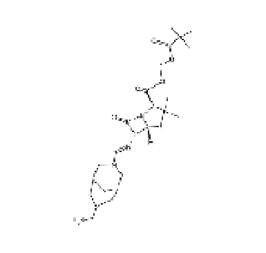 CC(C)(C)C(=O)OCOC(=O)[C@@H]1N2C(=O)[C@@H](N=CN3CC4CC(CN)CC(C4)C3)[C@H]2SC1(C)C